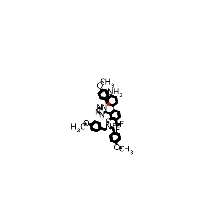 COc1ccc(CN(Cc2ccc(OC)cc2)Sc2c(C(F)(F)F)ccc([C@H]3CC[C@H](N)CC3)c2-c2nnnn2Cc2ccc(OC)cc2)cc1